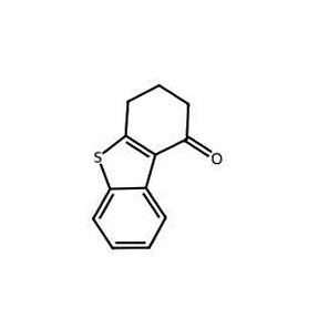 O=C1CCCc2sc3ccccc3c21